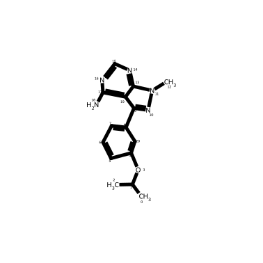 CC(C)Oc1cccc(-c2nn(C)c3ncnc(N)c23)c1